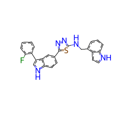 Fc1ccccc1-c1c[nH]c2ccc(-c3nnc(NCc4cccc5[nH]ccc45)s3)cc12